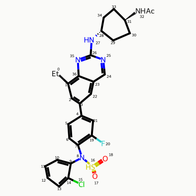 CCc1cc(-c2ccc(N(c3ccccc3Cl)[SH](=O)=O)c(F)c2)cc2cnc(N[C@H]3CC[C@H](NC(C)=O)CC3)nc12